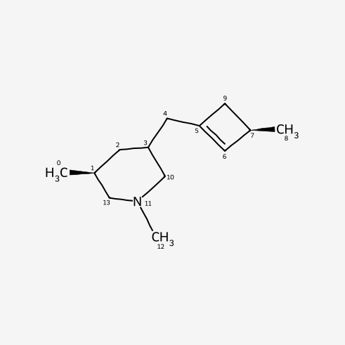 C[C@H]1CC(CC2=C[C@H](C)C2)CN(C)C1